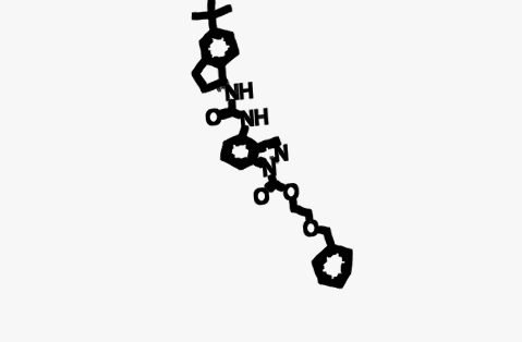 CC(C)(C)c1ccc2c(c1)CC[C@H]2NC(=O)Nc1cccc2c1cnn2C(=O)OCCOCc1ccccc1